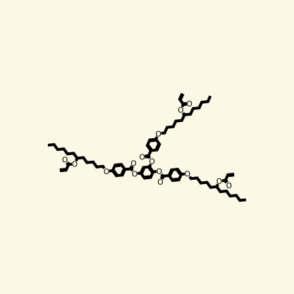 C=CC(=O)OC(CCCCCC)CCCCCOc1ccc(C(=O)Oc2ccc(OC(=O)c3ccc(OCCCCCC(CCCCCC)OC(=O)C=C)cc3)c(OC(=O)c3ccc(OCCCCCC(CCCCCC)OC(=O)C=C)cc3)c2)cc1